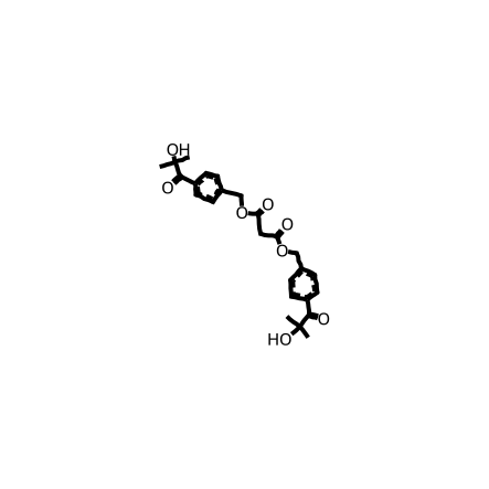 CC(C)(O)C(=O)c1ccc(COC(=O)CC(=O)OCc2ccc(C(=O)C(C)(C)O)cc2)cc1